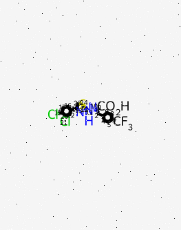 O=C(O)/C(Cc1ccc(C(F)(F)F)cc1)=N/Nc1nc(-c2ccc(Cl)c(Cl)c2)cs1